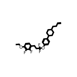 C=CCCC1CCC(c2ccc(OC(F)(F)CCc3ccc(OCC)c(F)c3F)cc2)CC1